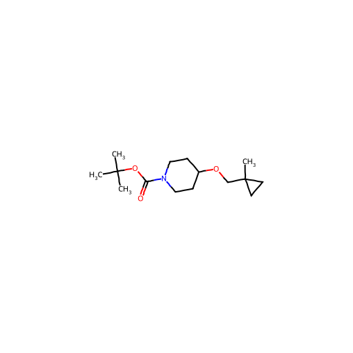 CC1(COC2CCN(C(=O)OC(C)(C)C)CC2)CC1